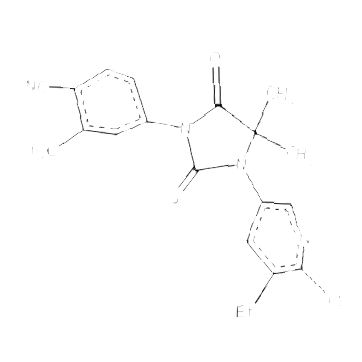 CCc1cc(N2C(=S)N(c3ccc(C#N)c(C(F)(F)F)c3)C(=O)C2(C)C)cnc1Cl